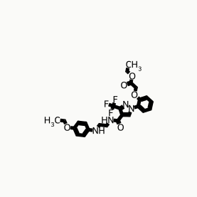 CCOC(=O)COc1ccccc1-n1cc(C(=O)NCCNc2ccc(OCC)cc2)c(C(F)(F)F)n1